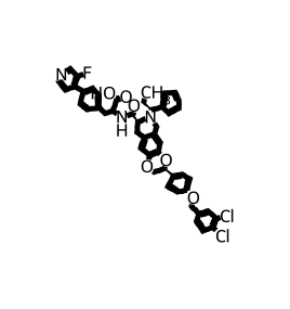 CC[C@@H](c1ccccc1)N1Cc2cc3c(cc2C[C@H]1C(=O)NC(Cc1ccc(-c2ccncc2F)cc1)C(=O)O)OC[C@H](c1ccc(OCc2ccc(Cl)c(Cl)c2)cc1)O3